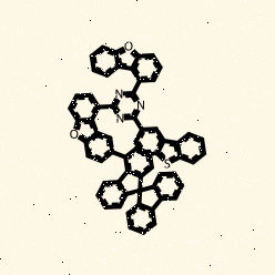 c1ccc2c(c1)-c1ccccc1C21c2ccccc2-c2c(-c3ccc4oc5cccc(-c6nc(-c7ccc8sc9ccccc9c8c7)nc(-c7cccc8oc9ccccc9c78)n6)c5c4c3)cccc21